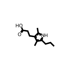 CCCc1[nH]c(C)c(CCC(=O)O)c1C